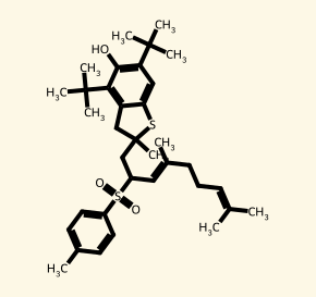 CC(C)=CCC/C(C)=C/C(CC1(C)Cc2c(cc(C(C)(C)C)c(O)c2C(C)(C)C)S1)S(=O)(=O)c1ccc(C)cc1